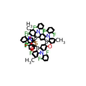 Cc1cc2c3c(c1)N(c1c(F)cccc1F)c1cc4c(cc1B3c1cc3c(cc1O2)N(c1c(F)cccc1F)c1cc(C)cc2c1B3c1sc3cc(F)cc(F)c3c1O2)B1c2sc3cc(F)cc(F)c3c2N(c2c(F)cccc2F)c2cc(C)cc(c21)N4c1c(F)cccc1F